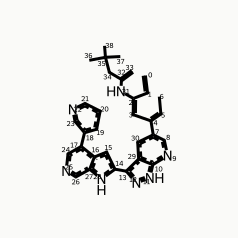 C=C/C(=C\C(=C/C)c1cnc2[nH]nc(-c3cc4c(-c5cccnc5)cncc4[nH]3)c2c1)NC(=C)CC(C)(C)C